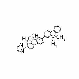 CC1(C)c2ccccc2-c2ccc(-c3ccc4c(c3)C(C)(C)c3cc(-c5ncccn5)ccc3-4)cc21